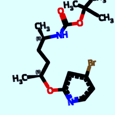 C[C@H](CC[C@H](C)Oc1cc(Br)ccn1)NC(=O)OC(C)(C)C